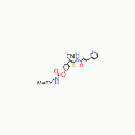 COCCNC(=O)OC1CCc2c(sc(NC(=O)C=Cc3cccnc3)c2C#N)C1